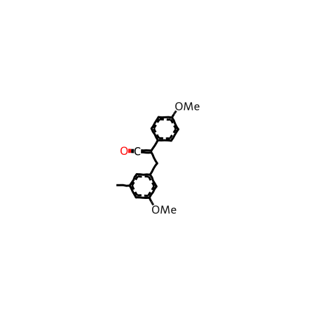 COc1ccc(C(=C=O)Cc2cc(C)cc(OC)c2)cc1